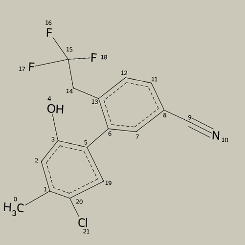 Cc1cc(O)c(-c2cc(C#N)ccc2CC(F)(F)F)cc1Cl